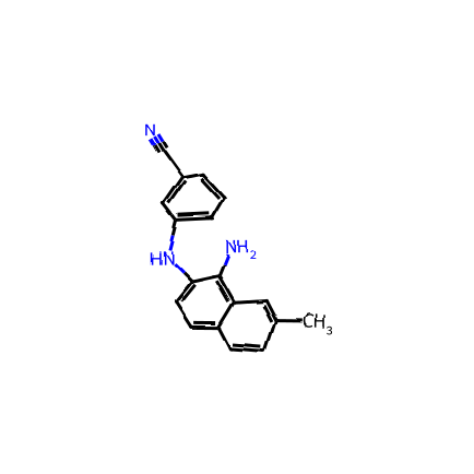 Cc1ccc2ccc(Nc3cccc(C#N)c3)c(N)c2c1